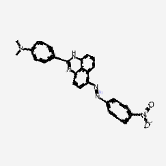 CN(C)c1ccc(C2=Nc3ccc(/N=N/c4ccc([N+](=O)[O-])cc4)c4cccc(c34)N2)cc1